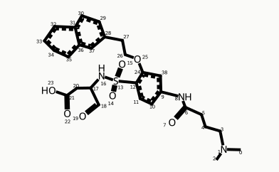 CN(C)CCCC(=O)Nc1ccc(S(=O)(=O)NC(C=O)CC(=O)O)c(OCCc2ccc3ccccc3c2)c1